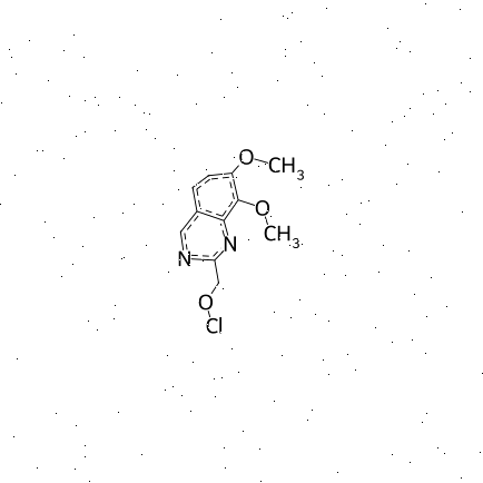 COc1ccc2cnc(COCl)nc2c1OC